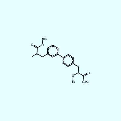 CCOC(Cc1ccc(-c2cccc(CN(C)C(=O)OC(C)(C)C)c2)cc1)C(=O)OC